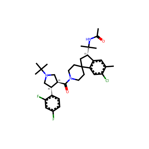 CC(=O)NC(C)(C)[C@H]1CC2(CCN(C(=O)[C@@H]3CN(C(C)(C)C)C[C@H]3c3ccc(F)cc3F)CC2)c2cc(Cl)c(C)cc21